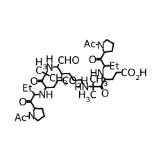 CCC(NC(CCC(=O)O)C(=O)C(C)(C)NCCCCC(C=O)NC(C)(C)C(=O)C(CCC(=O)O)NC(CC)C(=O)C1CCCN1C(C)=O)C(=O)C1CCCN1C(C)=O